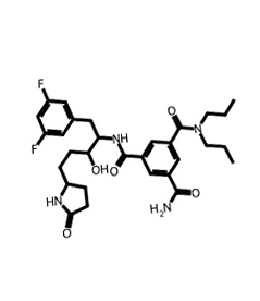 CCCN(CCC)C(=O)c1cc(C(N)=O)cc(C(=O)NC(Cc2cc(F)cc(F)c2)C(O)CCC2CCC(=O)N2)c1